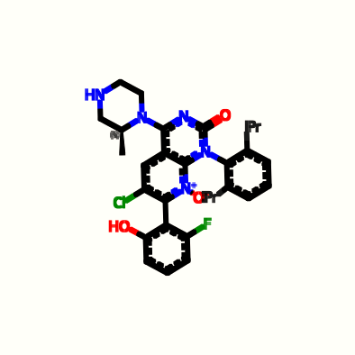 CC(C)c1cccc(C(C)C)c1-n1c(=O)nc(N2CCNC[C@@H]2C)c2cc(Cl)c(-c3c(O)cccc3F)[n+]([O-])c21